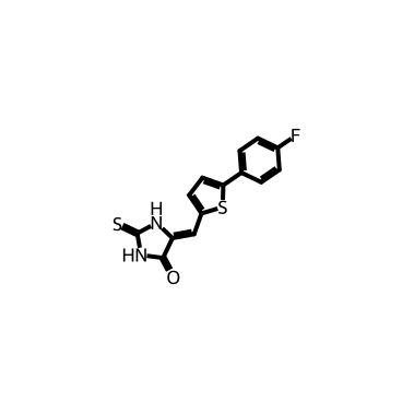 O=C1NC(=S)N/C1=C\c1ccc(-c2ccc(F)cc2)s1